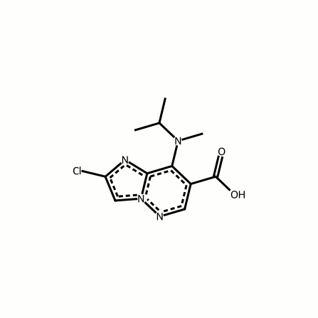 CC(C)N(C)c1c(C(=O)O)cnn2cc(Cl)nc12